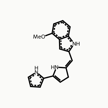 COc1cccc2[nH]c(C=C3CC=C(c4ccc[nH]4)N3)cc12